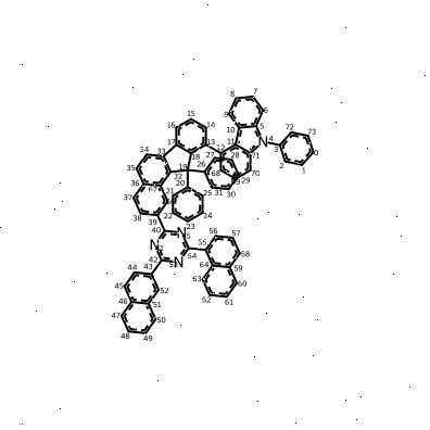 c1ccc(-n2c3ccccc3c3c(-c4cccc5c4C(c4ccccc4)(c4ccccc4)c4c-5ccc5ccc(-c6nc(-c7ccc8ccccc8c7)nc(-c7cccc8ccccc78)n6)cc45)cccc32)cc1